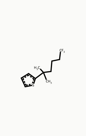 CC(C)(CCCC(F)(F)F)c1cc[c]s1